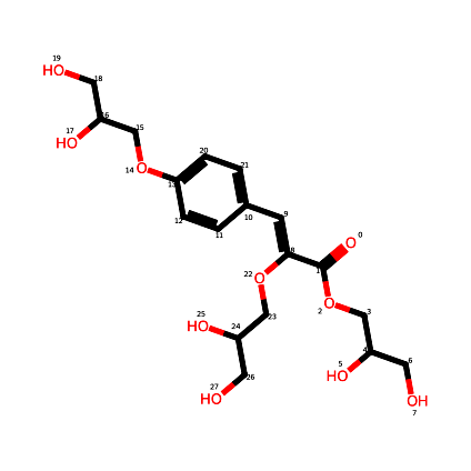 O=C(OCC(O)CO)C(=Cc1ccc(OCC(O)CO)cc1)OCC(O)CO